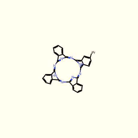 CC(C)c1ccc2c3nc4nc(nc5[nH]c(nc6nc(nc([nH]3)c2c1)-c1ccccc1-6)c1ccccc51)-c1ccccc1-4